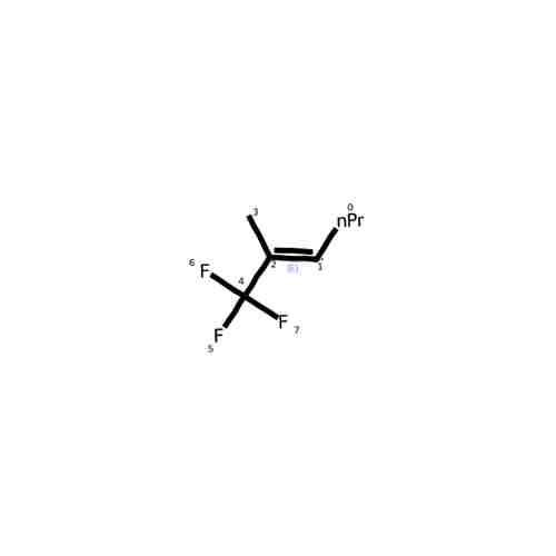 CCC/[C]=C(\C)C(F)(F)F